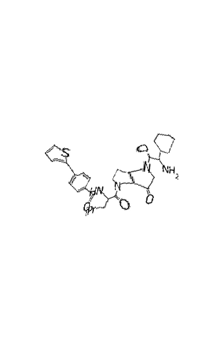 CC(C)CC(NC(=O)c1ccc(-c2cccs2)cc1)C(=O)N1CCC2C1C(=O)CN2C(=O)C(N)C1CCCCC1